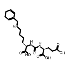 O=C(O)CC[C@H](NC(=O)N[C@@H](CCCCNCC1=CCCC=C1)C(=O)O)C(=O)O